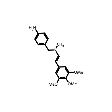 COc1cc(C=CN(C)Cc2ccc(N)cc2)cc(OC)c1OC